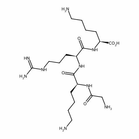 N=C(N)NCCC[C@H](NC(=O)[C@H](CCCCN)NC(=O)CN)C(=O)N[C@@H](CCCCN)C(=O)O